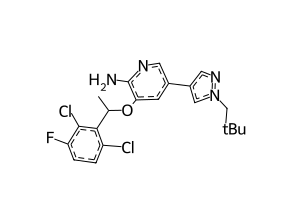 CC(Oc1cc(-c2cnn(CC(C)(C)C)c2)cnc1N)c1c(Cl)ccc(F)c1Cl